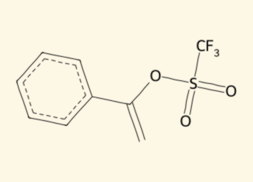 C=C(OS(=O)(=O)C(F)(F)F)c1ccccc1